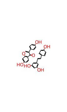 O=c1c(-c2ccc(O)cc2)coc2cc(O)ccc12.Oc1ccc(/C=C/c2cc(O)cc(O)c2)cc1